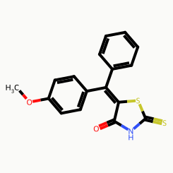 COc1ccc(/C(=C2/SC(=S)NC2=O)c2ccccc2)cc1